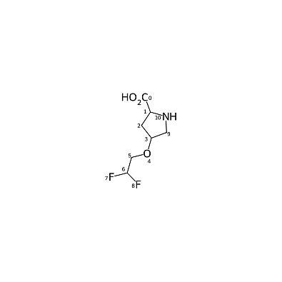 O=C(O)C1CC(OCC(F)F)CN1